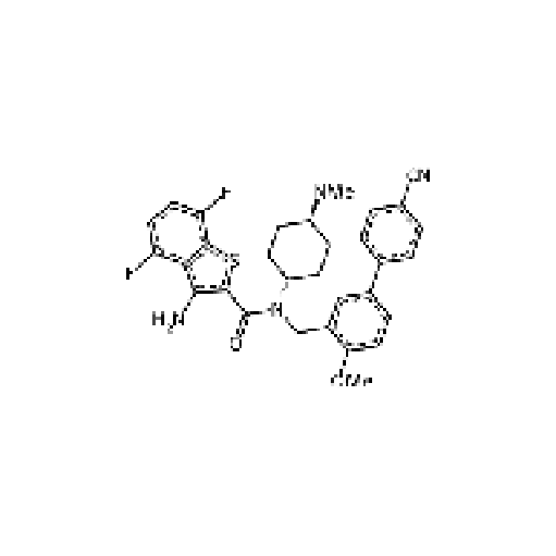 CN[C@H]1CC[C@H](N(Cc2cc(-c3ccc(C#N)cc3)ccc2OC)C(=O)c2sc3c(F)ccc(F)c3c2N)CC1